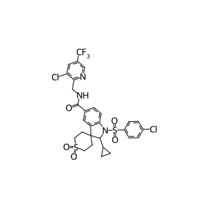 O=C(NCc1ncc(C(F)(F)F)cc1Cl)c1ccc2c(c1)C1(CCS(=O)(=O)CC1)C(C1CC1)N2S(=O)(=O)c1ccc(Cl)cc1